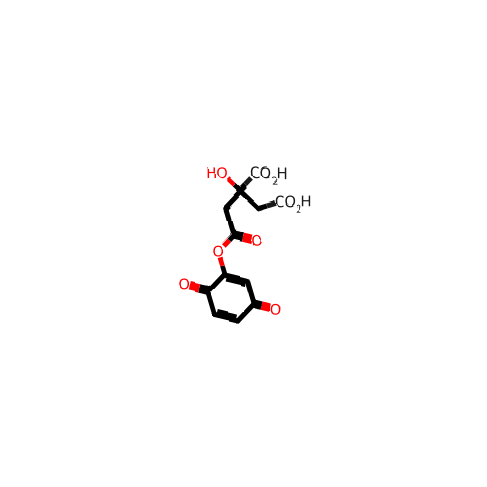 O=C1C=CC(=O)C(OC(=O)CC(O)(CC(=O)O)C(=O)O)=C1